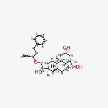 C#CC(CCc1ccccc1)OCC(O)[C@]1(C)C=C2CC[C@@H]3[C@](C)(CO)C[C@@H](O)C[C@@]3(C)[C@@H]2CC1